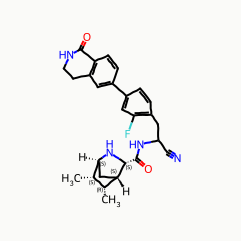 C[C@@H]1[C@H](C)[C@@H]2C[C@@H]1[C@@H](C(=O)NC(C#N)Cc1ccc(-c3ccc4c(c3)CCNC4=O)cc1F)N2